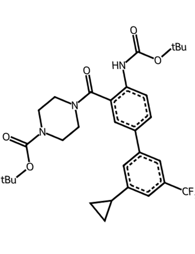 CC(C)(C)OC(=O)Nc1ccc(-c2cc(C3CC3)cc(C(F)(F)F)c2)cc1C(=O)N1CCN(C(=O)OC(C)(C)C)CC1